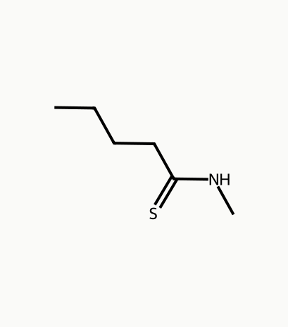 CCCCC(=S)NC